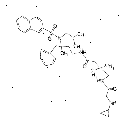 CC(C)CN(C(O)(CCNC(=O)CC(C)(C)CNC(=O)CNC1CC1)Cc1ccccc1)S(=O)(=O)c1ccc2ccccc2c1